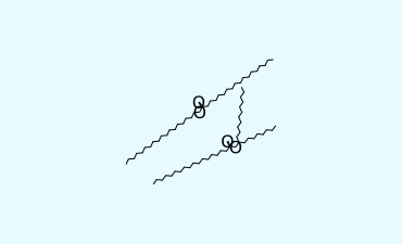 CCCCCCCCCCCCCCCCCC(=O)OC(CCCCCCCC)CCCCCCCCCCC.CCCCCCCCCCCCCCCCCCOC(=O)CCCCCCCCCCCCCCCCC